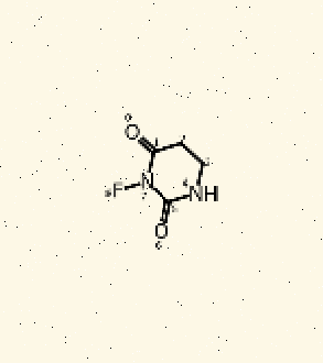 O=C1CCNC(=O)N1F